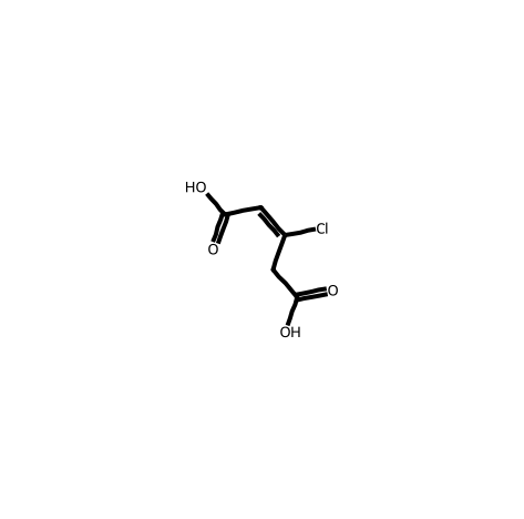 O=C(O)/C=C(/Cl)CC(=O)O